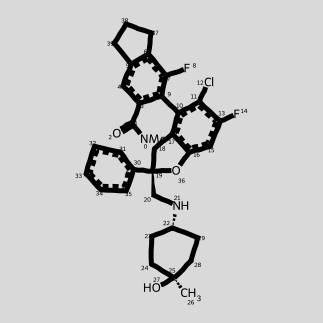 CNC(=O)c1cc2c(c(F)c1-c1c(Cl)c(F)cc3c1C[C@@](CN[C@H]1CC[C@](C)(O)CC1)(c1ccccc1)O3)CCC2